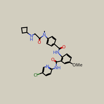 COc1ccc(NC(=O)c2ccc(N(C)C(=O)CNC3CCC3)cc2)c(C(=O)Nc2ccc(Cl)cn2)c1